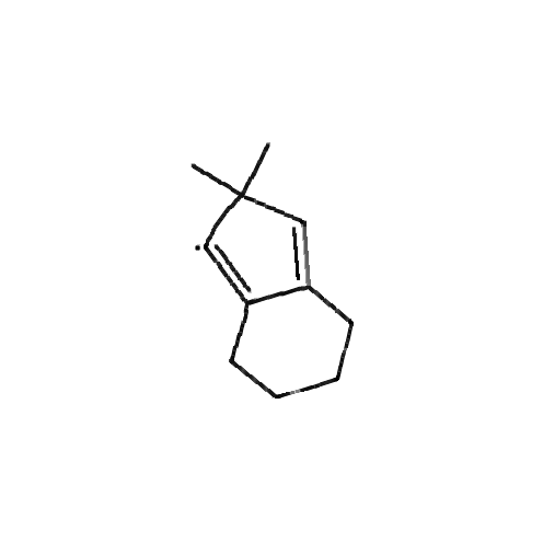 CC1(C)[C]=C2CCCCC2=C1